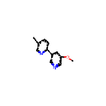 COc1cn[c]c(-c2ccc(C)cn2)c1